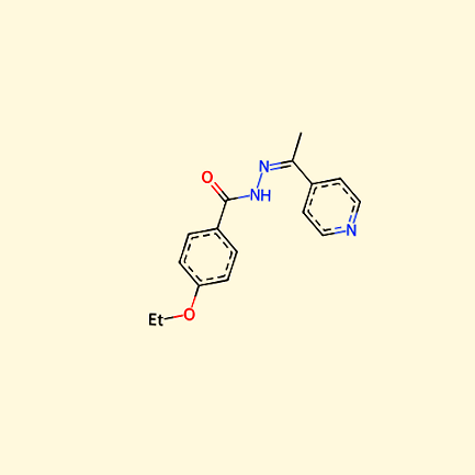 CCOc1ccc(C(=O)NN=C(C)c2ccncc2)cc1